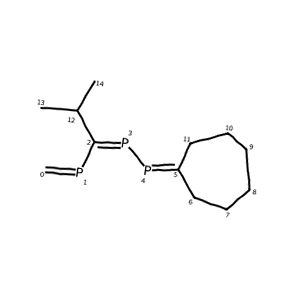 C=P/C(=P\P=C1CCCCCC1)C(C)C